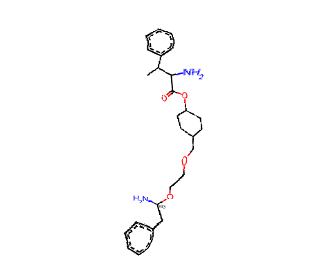 CC(c1ccccc1)C(N)C(=O)OC1CCC(COCCO[C@H](N)Cc2ccccc2)CC1